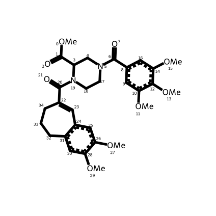 COC(=O)C1CN(C(=O)c2cc(OC)c(OC)c(OC)c2)CCN1C(=O)C1=Cc2cc(OC)c(OC)cc2CCC1